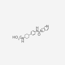 O=C(O)NC1CCC(c2ccc(NC(=O)N3Cc4ccncc4C3)cc2)CC1